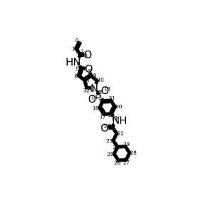 C=CC(=O)Nc1cc2c(o1)CN(S(=O)(=O)c1ccc(NC(=O)CCC3CCCCC3)cc1)C2